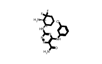 NC(=O)c1nnc(N[C@@H]2CCCC(F)(F)[C@@H]2N)nc1Nc1cccc(Cl)c1